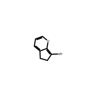 [CH2]CCC1=C2OC=CC=C2CC1